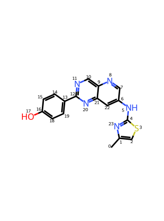 Cc1csc(Nc2cnc3cnc(-c4ccc(O)cc4)nc3c2)n1